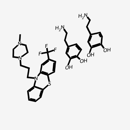 CN1CCN(CCCN2c3ccccc3Sc3ccc(C(F)(F)F)cc32)CC1.NCCc1ccc(O)c(O)c1.NCCc1ccc(O)c(O)c1